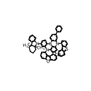 Cc1cc2c3c(c1)N(c1cccc4sc5ccccc5c14)c1cc(-c4ccccc4)ccc1B3c1ccc(N3c4ccccc4C4(C)CCCCC34C)cc1N2c1cccc2oc3ccccc3c12